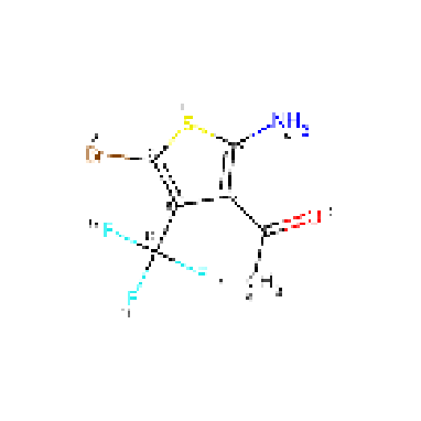 CC(=O)c1c(N)sc(Br)c1C(F)(F)F